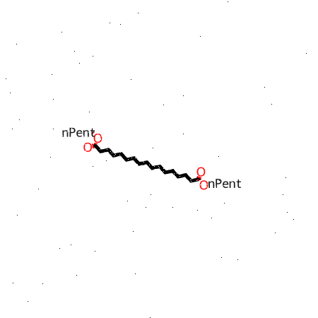 CCCCCOC(=O)CCCCCCCCCCCCCCCC(=O)OCCCCC